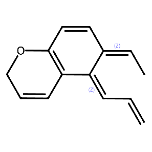 C=C/C=c1/c2c(cc/c1=C/C)OCC=C2